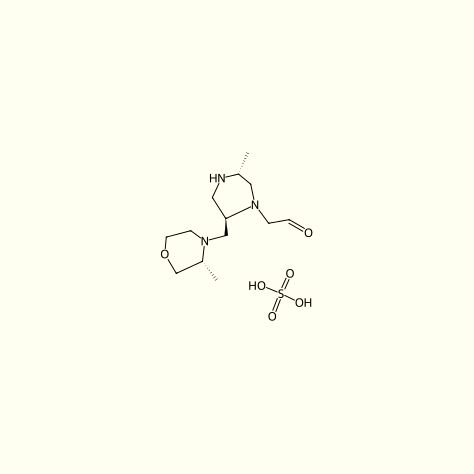 C[C@@H]1CN(CC=O)[C@@H](CN2CCOC[C@H]2C)CN1.O=S(=O)(O)O